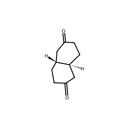 O=C1CC[C@H]2CC(=O)CC[C@@H]2C1